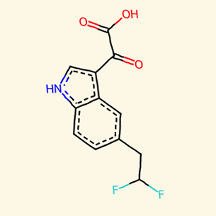 O=C(O)C(=O)c1c[nH]c2ccc(CC(F)F)cc12